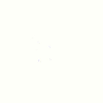 CCCn1c(Oc2ccc(C)c(C)c2)nc2nc(C3CCCCC3)[nH]c2c1=O